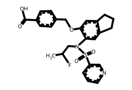 CC(F)CN(c1cc2c(cc1OCc1ccc(C(=O)O)cc1)CCC2)S(=O)(=O)c1cccnc1